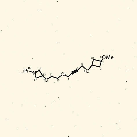 COC1CC(OCC#CCOCCOC2CN(C(C)C)C2)C1